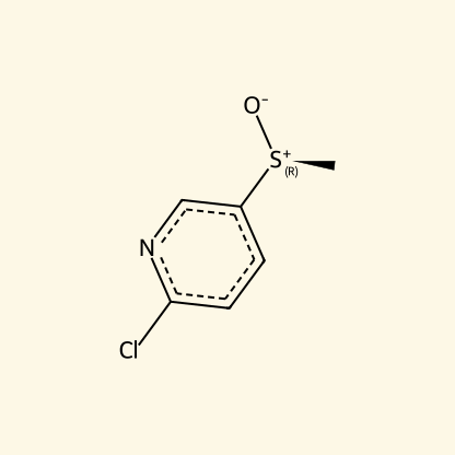 C[S@+]([O-])c1ccc(Cl)nc1